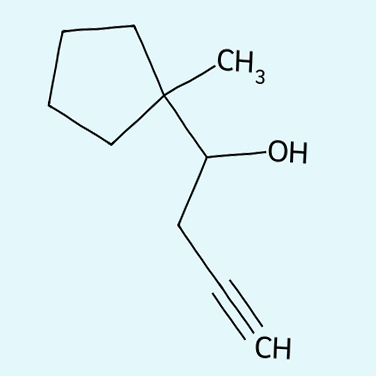 C#CCC(O)C1(C)CCCC1